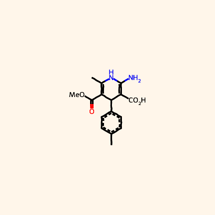 COC(=O)C1=C(C)NC(N)=C(C(=O)O)C1c1ccc(C)cc1